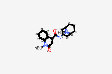 CCCCn1c(=O)cc(C(=O)NC2CC3CCCC(C2)N3C)c2ccccc21